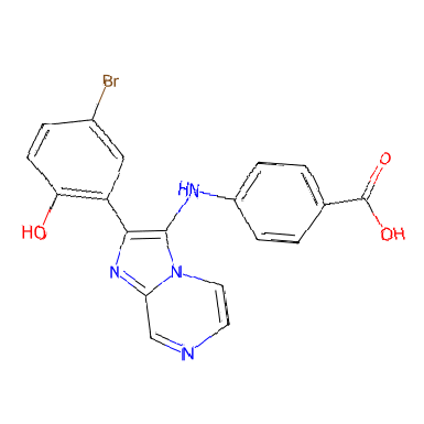 O=C(O)c1ccc(Nc2c(-c3cc(Br)ccc3O)nc3cnccn23)cc1